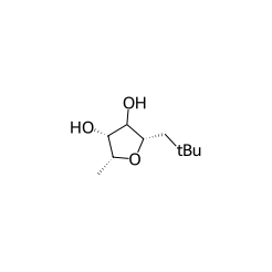 C[C@H]1O[C@@H](CC(C)(C)C)C(O)[C@H]1O